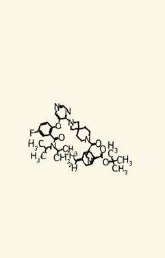 [2H]C([2H])=C1CC2CCC1C(C(=O)N1CCC3(CC1)CN(c1ncncc1Oc1ccc(F)cc1C(=O)N(C(C)C)C(C)C)C3)N2C(=O)OC(C)(C)C